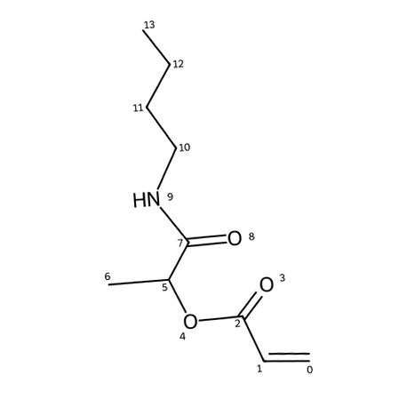 C=CC(=O)OC(C)C(=O)NCCCC